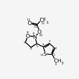 Cc1ccc(C2CCON2OC(=O)C(F)(F)F)s1